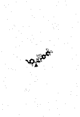 CCC[C@]1(C)CCC[C@H](N(c2cnc(-c3ccc(-c4cnc(OC)c(OC)c4)cc3O)nn2)C2CC2)[C@@H]1F